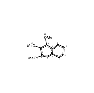 COc1cc2ccncc2c(OC)c1OC